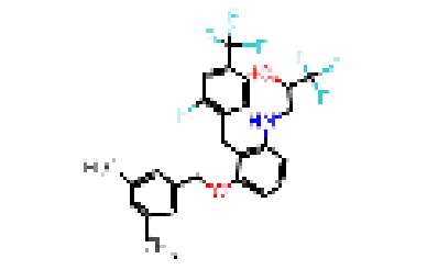 Cc1cc(C)cc(COc2cccc(NC[C@@H](O)C(F)(F)F)c2Cc2ccc(C(F)(F)F)cc2F)c1